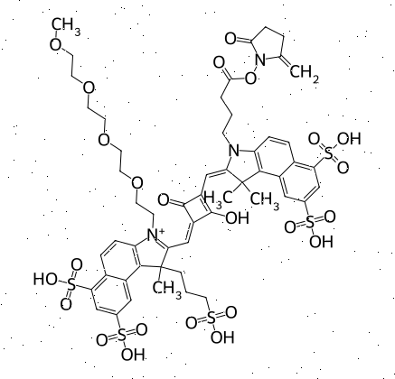 C=C1CCC(=O)N1OC(=O)CCCN1/C(=C/C2=C(O)C(=C/C3=[N+](CCOCCOCCOCCOC)c4ccc5c(S(=O)(=O)O)cc(S(=O)(=O)O)cc5c4C3(C)CCCS(=O)(=O)O)/C2=O)C(C)(C)c2c1ccc1c(S(=O)(=O)O)cc(S(=O)(=O)O)cc21